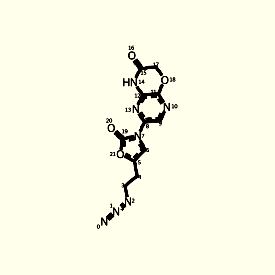 [N-]=[N+]=NCCc1cn(-c2cnc3c(n2)NC(=O)CO3)c(=O)o1